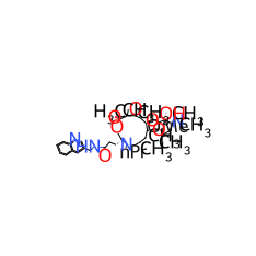 CCCN1C[C@H](C)C[C@@](C)(OC)[C@H](O[C@@H]2O[C@H](C)C[C@H](N(C)C)[C@H]2O)[C@@H](C)C(=O)C(C)(C)C(=O)OC[C@H]1CCC(=O)NCc1cnc2ccccc2c1